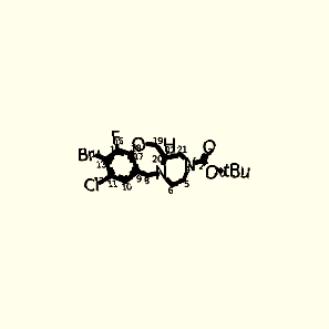 CC(C)(C)OC(=O)N1CCN2Cc3cc(Cl)c(Br)c(F)c3OC[C@H]2C1